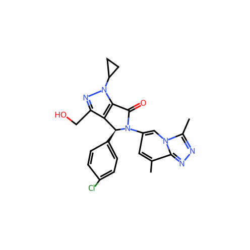 Cc1cc(N2C(=O)c3c(c(CO)nn3C3CC3)[C@@H]2c2ccc(Cl)cc2)cn2c(C)nnc12